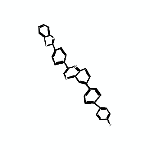 Fc1ccc(-c2ccc(-c3ccc4nc(-c5ccc(-c6nc7ccccc7s6)cc5)cnc4c3)cc2)cc1